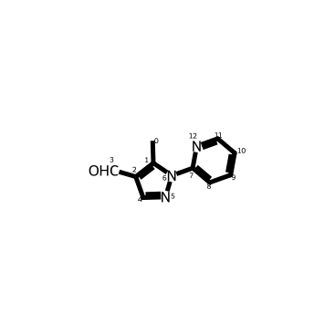 Cc1c(C=O)cnn1-c1ccccn1